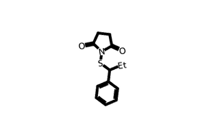 CCC(SN1C(=O)CCC1=O)c1ccccc1